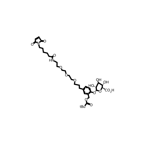 CC(C)(C)C(=O)OCc1cc(CCCOCCOCCOCCNC(=O)CCCCCN2C(=O)C=CC2=O)ccc1O[C@@H]1O[C@H](C(=O)O)[C@@H](O)[C@H](O)[C@H]1O